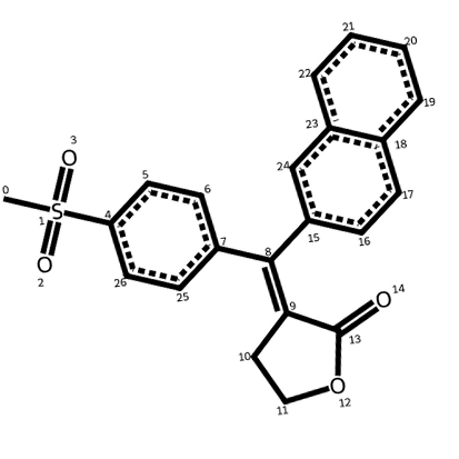 CS(=O)(=O)c1ccc(/C(=C2\CCOC2=O)c2ccc3ccccc3c2)cc1